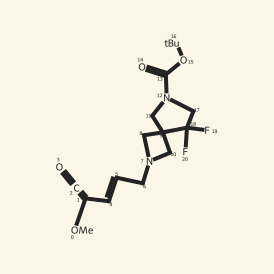 COC(=C=O)/C=C/CN1CC2(C1)CN(C(=O)OC(C)(C)C)CC2(F)F